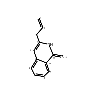 C=CCc1nc2ccccc2c(=S)[nH]1